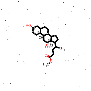 COC(=O)CCC(C)C1CCC2C3CCC4C[C@H](O)CC[C@]4(C)C3C[C@H](O)[C@]12C